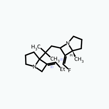 CC/C=C1\CN2CCCC12C(C)(C)CC1/C(=C/F)[C@@]2(C)CCCN12